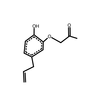 C=CCc1ccc(O)c(OCC(C)=O)c1